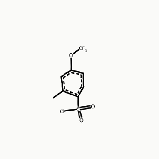 Cc1cc(OC(F)(F)F)ccc1S(=O)(=O)Cl